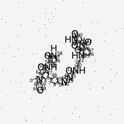 CCN(c1cc(-c2ccc(CN3CCN(CC(=O)NCCCCNc4cccc5c4C(=O)N(C4CCC(=O)NC4=O)C5=O)CC3)cc2)cc(C(=O)NCc2c(C)cc(C)[nH]c2=O)c1C)C1CCOCC1